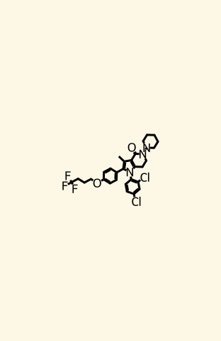 Cc1c2c(n(-c3ccc(Cl)cc3Cl)c1-c1ccc(OCCCC(F)(F)F)cc1)CCN(N1CCCCC1)C2=O